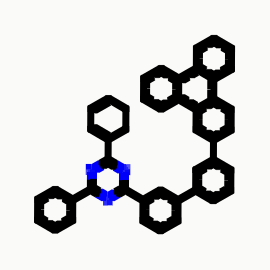 C1=CCCC(c2nc(-c3ccccc3)nc(-c3cccc(-c4cccc(-c5ccc6c7ccccc7c7ccccc7c6c5)c4)c3)n2)=C1